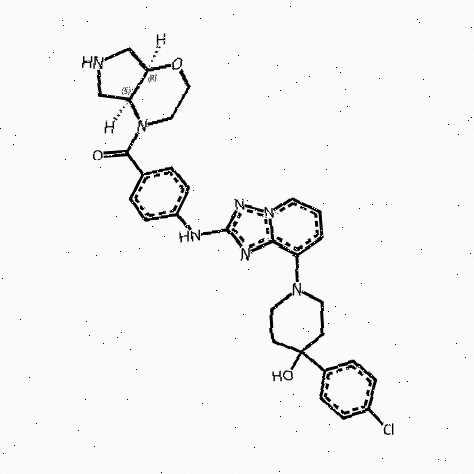 O=C(c1ccc(Nc2nc3c(N4CCC(O)(c5ccc(Cl)cc5)CC4)cccn3n2)cc1)N1CCO[C@@H]2CNC[C@@H]21